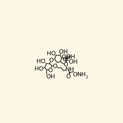 NOCC(=O)NCCCO[C@H]1OC(CO)[C@@H](O)[C@H](O)C1O[C@H]1CC(COP(=O)(O)O)[C@@H](O)[C@H](O)C1O